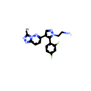 CC(C)c1nnc2ccc(-c3cnn(CCN)c3-c3ccc(F)cc3F)nn12